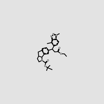 CCOC(=O)CC(c1ccc2c(c1)C1C(CCN1C(=O)OC(C)(C)C)C2)c1ccc2c(nnn2C)c1C